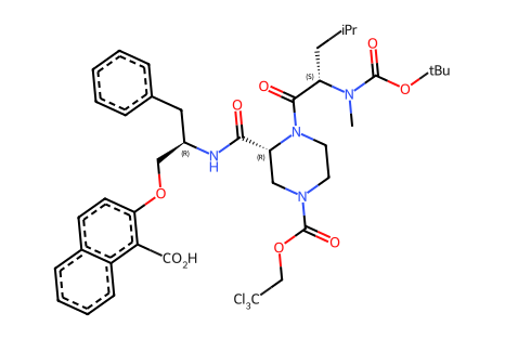 CC(C)C[C@@H](C(=O)N1CCN(C(=O)OCC(Cl)(Cl)Cl)C[C@@H]1C(=O)N[C@@H](COc1ccc2ccccc2c1C(=O)O)Cc1ccccc1)N(C)C(=O)OC(C)(C)C